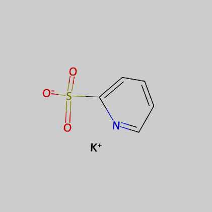 O=S(=O)([O-])c1ccccn1.[K+]